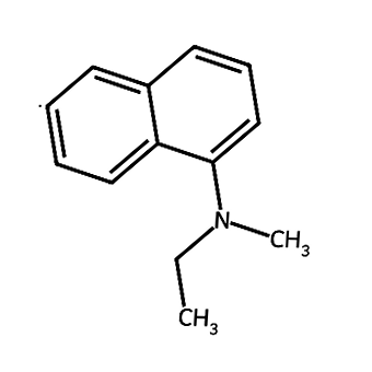 CCN(C)c1cccc2c[c]ccc12